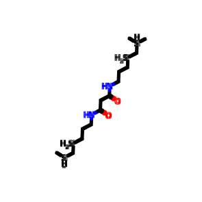 C[SiH](C)C[SiH2]CCCNC(=O)CC(=O)NCCC[SiH2]C[SiH](C)C